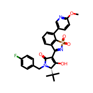 COc1ccc(-c2cccc3c2S(=O)(=O)N=C3C2=C(O)[C@H](C(C)(C)C)N(Cc3ccc(F)cc3)C2=O)cn1